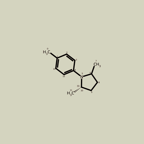 Cc1ccc(N2C(C)CC[C@@H]2C)cc1